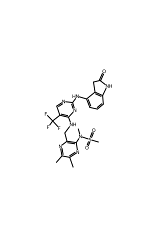 Cc1nc(CNc2nc(Nc3cccc4c3CC(=O)N4)ncc2C(F)(F)F)c(N(C)S(C)(=O)=O)nc1C